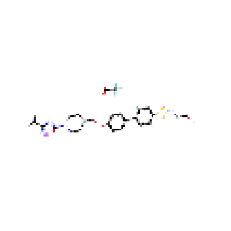 CC(C)c1noc(N2CCC(COc3ccc(-c4cc(F)c(S(=O)(=O)NCCO)cc4F)cc3)CC2)n1.O=C(O)C(F)(F)F